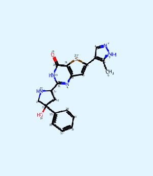 Cc1[nH]ncc1-c1cc2nc(C3CC(O)(c4ccccc4)CN3)[nH]c(=O)c2s1